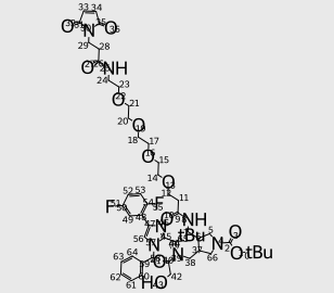 CC(C)(C)OC(=O)N1CC(CNC(=O)CCOCCOCCOCCOCCNC(=O)CCN2C(=O)C=CC2=O)C(CN(C(=O)CO)[C@@H](c2nc(-c3cc(F)ccc3F)cn2Cc2ccccc2)C(C)(C)C)C1